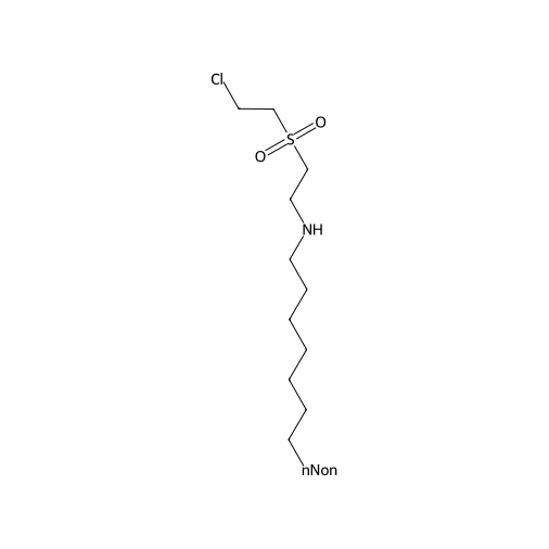 CCCCCCCCCCCCCCCCNCCS(=O)(=O)CCCl